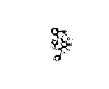 Cc1cnn([C@H](c2ccccc2C#N)[C@H](C)c2nc(C(=O)Nc3cnoc3)c(O)c(=O)n2C)c1